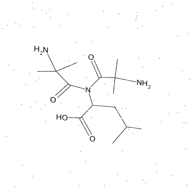 CC(C)CC(C(=O)O)N(C(=O)C(C)(C)N)C(=O)C(C)(C)N